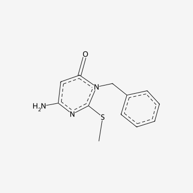 CSc1nc(N)cc(=O)n1Cc1ccccc1